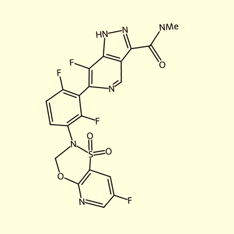 CNC(=O)c1n[nH]c2c(F)c(-c3c(F)ccc(N4COc5ncc(F)cc5S4(=O)=O)c3F)ncc12